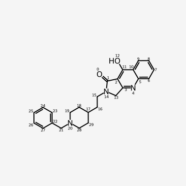 O=C1c2c(nc3ccccc3c2O)CN1CCC1CCN(Cc2ccccc2)CC1